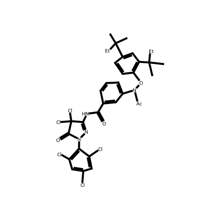 CCC(C)(C)c1ccc(ON(C(C)=O)c2cccc(C(=O)NC3=NN(c4c(Cl)cc(Cl)cc4Cl)C(=O)C3(Cl)Cl)c2)c(C(C)(C)CC)c1